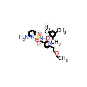 CCOCCc1ccc(C(=O)NS(=O)(=O)c2cccc(N)n2)c(Oc2c(C)cc(C)cc2C)n1